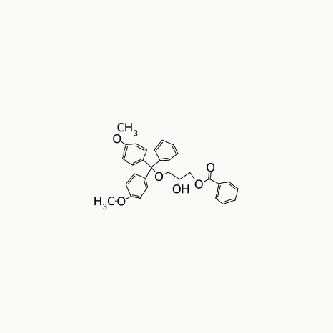 COc1ccc(C(OC[C@@H](O)COC(=O)c2ccccc2)(c2ccccc2)c2ccc(OC)cc2)cc1